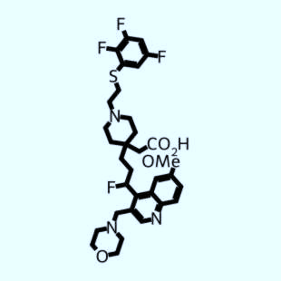 COc1ccc2ncc(CN3CCOCC3)c(C(F)CCC3(CC(=O)O)CCN(CCSc4cc(F)cc(F)c4F)CC3)c2c1